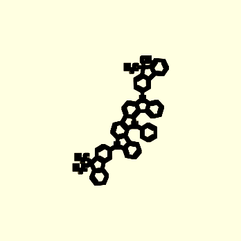 CC1(C)C2=C(CCC=C2)c2cc(-n3c4ccccc4c4c3ccc3c5ccc6c(c7ccccc7n6-c6ccc7c(c6)-c6ccccc6C7(C)C)c5n(-c5ccccc5)c34)ccc21